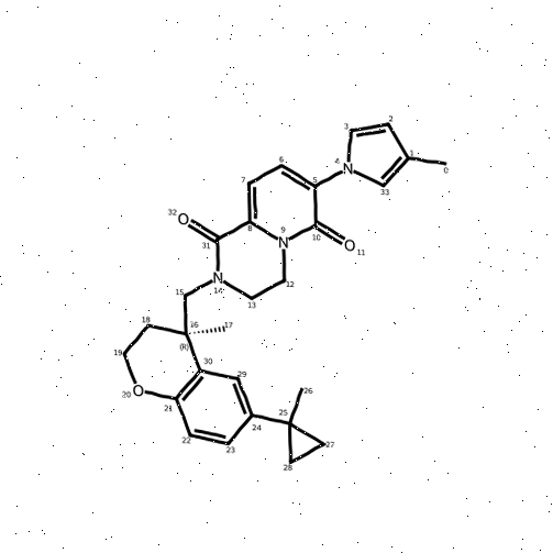 Cc1ccn(-c2ccc3n(c2=O)CCN(C[C@]2(C)CCOc4ccc(C5(C)CC5)cc42)C3=O)c1